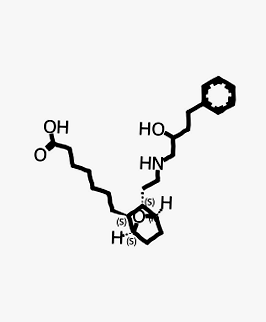 O=C(O)CCCCCC[C@H]1[C@H](CCNCC(O)CCc2ccccc2)[C@H]2CC[C@@H]1O2